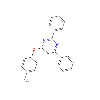 CCCCc1ccc(Oc2cc(-c3ccccc3)nc(-c3ccccc3)n2)cc1